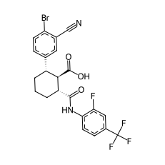 N#Cc1cc([C@H]2CCC[C@@H](C(=O)Nc3ccc(C(F)(F)F)cc3F)[C@@H]2C(=O)O)ccc1Br